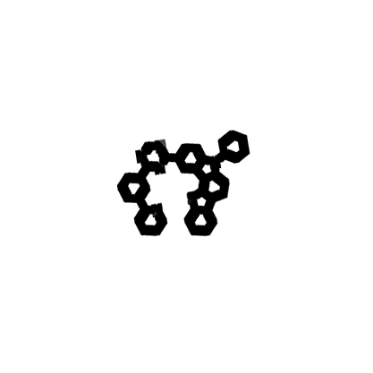 c1ccc(-n2c3ccc(-c4ncnc(-c5cccc(-c6ccccn6)c5)n4)cc3c3c4sc5ccccc5c4ccc32)cc1